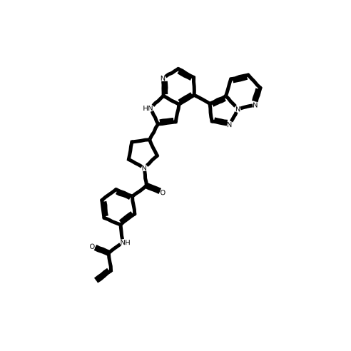 C=CC(=O)Nc1cccc(C(=O)N2CCC(c3cc4c(-c5cnn6ncccc56)ccnc4[nH]3)C2)c1